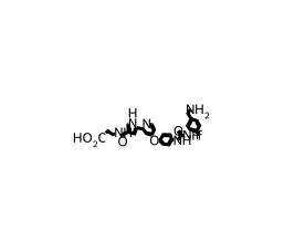 NCc1ccc(F)c(NC(=O)Nc2ccc(Oc3ccnc(-c4cc(C(=O)NCCC(=O)O)c[nH]4)c3)cc2)c1